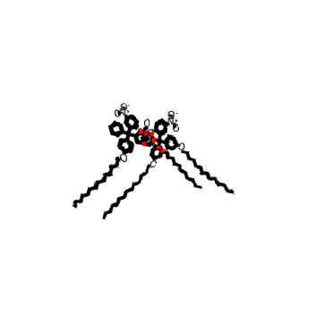 CCCCCCCCCCCCCCOc1ccc(C(c2ccccc2)(c2ccc(OCCCCCCCCCCCCCC)cc2)c2cc([N+](=O)[O-])ccc2OC(=O)Oc2ccc([N+](=O)[O-])cc2C(c2ccccc2)(c2ccc(OCCCCCCCCCCCCCC)cc2)c2ccc(OCCCCCCCCCCCCCC)cc2)cc1